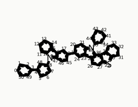 c1ccc(-c2cccc(-n3c4ccccc4c4cc(-c5ccc6c(c5)c5ccc7sc8ccccc8c7c5n6-c5ccccc5)ccc43)c2)cc1